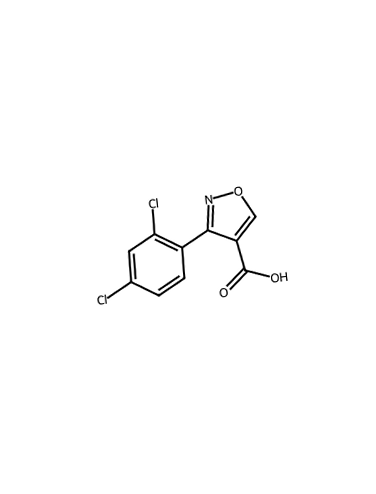 O=C(O)c1conc1-c1ccc(Cl)cc1Cl